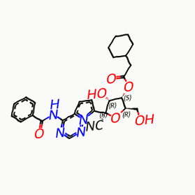 N#C[C@@]1(c2ccc3c(NC(=O)c4ccccc4)ncnn23)O[C@H](CO)[C@@H](OC(=O)CC2CCCCC2)[C@H]1O